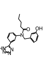 CCCCC(=O)N(Cc1cccc(O)c1)c1cccc(-c2nnn[nH]2)c1